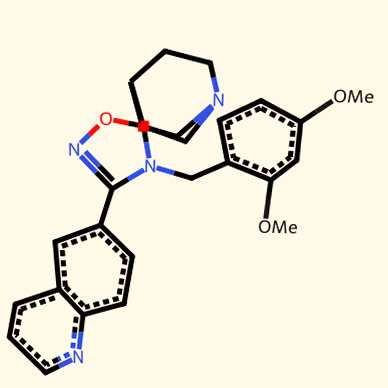 COc1ccc(CN2C(c3ccc4ncccc4c3)=NOC23CN2CCC3CC2)c(OC)c1